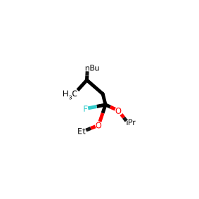 CCCCC(C)CC(F)(OCC)OC(C)C